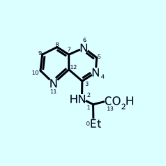 CCC(Nc1ncnc2cccnc12)C(=O)O